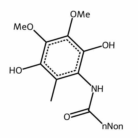 CCCCCCCCCC(=O)Nc1c(C)c(O)c(OC)c(OC)c1O